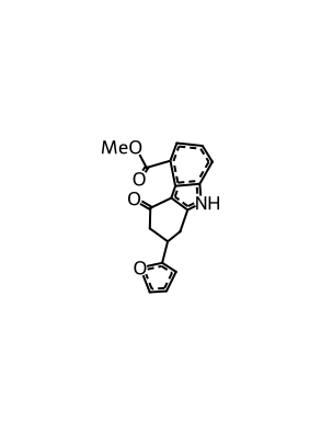 COC(=O)c1cccc2[nH]c3c(c12)C(=O)CC(c1ccco1)C3